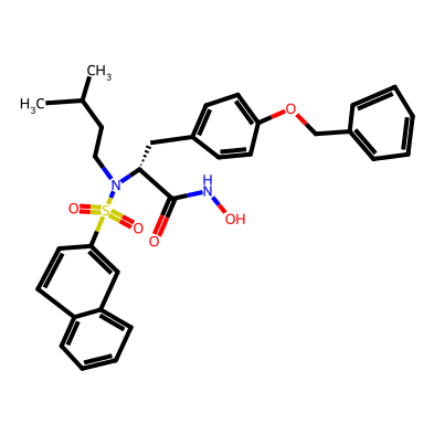 CC(C)CCN([C@H](Cc1ccc(OCc2ccccc2)cc1)C(=O)NO)S(=O)(=O)c1ccc2ccccc2c1